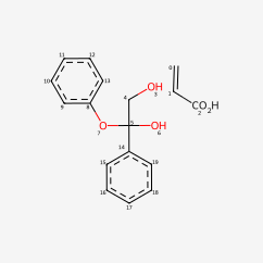 C=CC(=O)O.OCC(O)(Oc1ccccc1)c1ccccc1